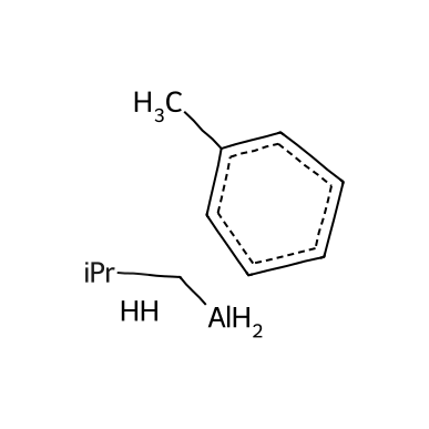 CC(C)[CH2][AlH2].Cc1ccccc1.[HH]